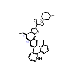 C=c1ccc(C2=C(c3cccc(C)n3)NC=CC=C2)c/c1=C/C(=C\C)c1csc(C(=O)O[C@H]2CCCC(C)C2)c1